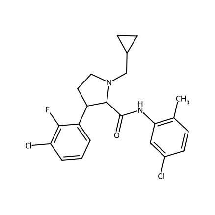 Cc1ccc(Cl)cc1NC(=O)C1C(c2cccc(Cl)c2F)CCN1CC1CC1